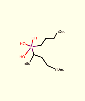 CCCCCCCCCCCCCP(O)(O)(O)C(CCCC)CCCCCCCCCCCC